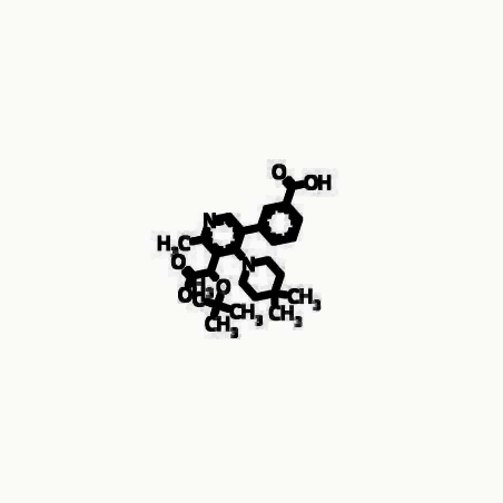 Cc1ncc(-c2cccc(C(=O)O)c2)c(N2CCC(C)(C)CC2)c1C(OC(C)(C)C)C(=O)O